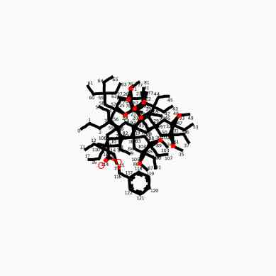 CCCC(CC)CC(CC)(CC(CC)(CC)CC)CC(CC(CC)(CC)CC)(CC(CC(CC)(CC)CC)(CC(CC)(CC)CC)CC(CC)(CC)CC)CC(CC(CC(CC)(CC)CC)(CC(CC)(CC)CC)CC(CC)(CC)CC)(CC(CC(CC)(CC)CC)(CC(CC)(CC)CC)CC(CC)(CC)CC)CC(C)(CC)C(=O)OCc1ccccc1